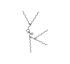 CCCCCCCCCN(CCCCCCCCC)CCC1CCN(C(=O)CN(CCCCCCCCC)CCN(CCCCCCCC)CCCCCCCCC)C1